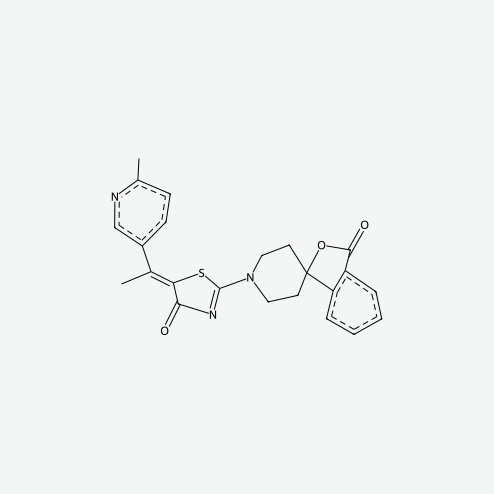 C/C(=C1/SC(N2CCC3(CC2)OC(=O)c2ccccc23)=NC1=O)c1ccc(C)nc1